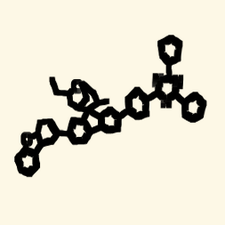 CCC1CC2CC(C)C3(c4cc(C5=CCC6Oc7ccccc7C6=C5)ccc4-c4ccc(-c5ccc(-c6nc(-c7ccccc7)nc(-c7ccccc7)n6)cc5)cc43)C(C1)C2